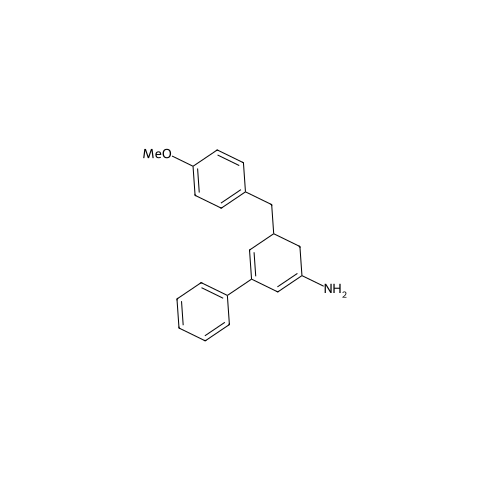 COc1ccc(CC2C=C(c3ccccc3)C=C(N)C2)cc1